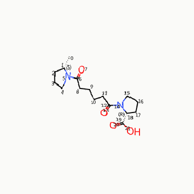 C[C@H]1CCCN1C(=O)CCCCC(=O)N1CCC[C@@H]1C(=O)O